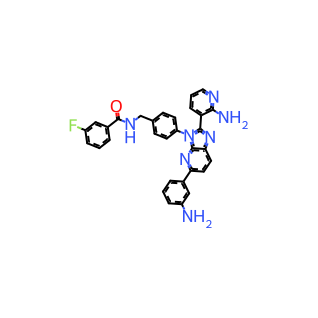 Nc1cccc(-c2ccc3nc(-c4cccnc4N)n(-c4ccc(CNC(=O)c5cccc(F)c5)cc4)c3n2)c1